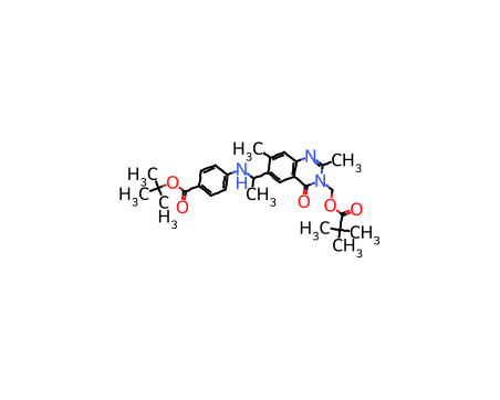 Cc1cc2nc(C)n(COC(=O)C(C)(C)C)c(=O)c2cc1C(C)Nc1ccc(C(=O)OC(C)(C)C)cc1